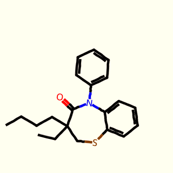 CCCCC1(CC)CSc2ccccc2N(c2ccccc2)C1=O